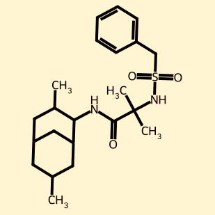 CC1CC2CC(C)C(NC(=O)C(C)(C)NS(=O)(=O)Cc3ccccc3)C(C1)C2